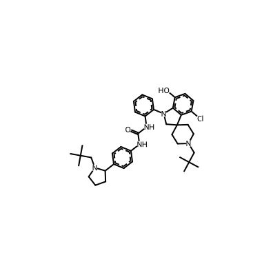 CC(C)(C)CN1CCC2(CC1)CN(c1ccccc1NC(=O)Nc1ccc(C3CCCN3CC(C)(C)C)cc1)c1c(O)ccc(Cl)c12